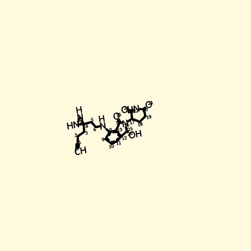 C#CCCC1(CCNc2cccc3c2C(=O)N(C2CCC(=O)NC2=O)C3O)NN1